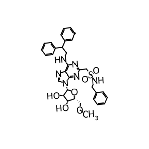 COC[C@H]1O[C@@H](n2cnc3c(NCC(c4ccccc4)c4ccccc4)nc(CS(=O)(=O)NCc4ccccc4)nc32)[C@H](O)[C@@H]1O